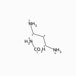 NC(=O)O.NCCCN